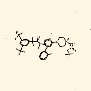 Cc1ccccc1-c1cc(N2CC[N+](C)(C3OP3(=O)OC(C)(C)C)CC2)ncc1N(C)C(=O)C(C)(C)c1cc(C(F)(F)F)cc(C(F)(F)F)c1